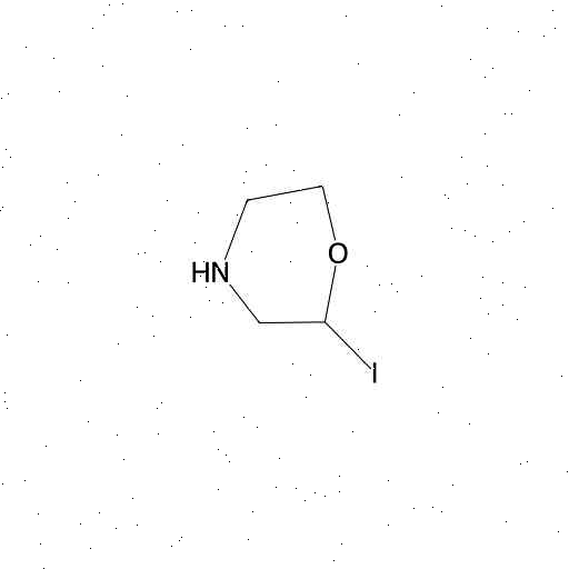 IC1CNCCO1